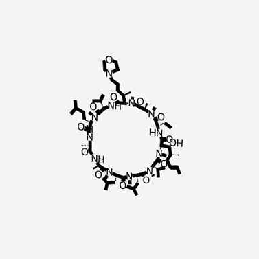 C/C=C/C[C@@H](C)[C@@H](O)[C@H]1C(=O)N[C@@H](CC)C(=O)N(C)[C@H](C)C(=O)N(C)[C@@H]([C@H](C)CCCN2CCOCC2)C(=O)N[C@@H](C(C)C)C(=O)N(C)[C@@H](CCC(C)C)C(=O)N[C@@H](C)C(=O)N[C@H](C)C(=O)N(C)[C@@H](CC(C)C)C(=O)N(C)[C@@H](CC(C)C)C(=O)N(C)[C@@H](C(C)C)C(=O)N1C